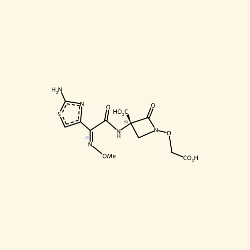 CO/N=C(\C(=O)N[C@@]1(C(=O)O)CN(OCC(=O)O)C1=O)c1csc(N)n1